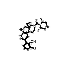 CCC12CNc3nnc(-c4cccc(Cl)c4O)cc3N1CCN(C(=O)N1[C@H](C)CNC[C@H]1C)C2